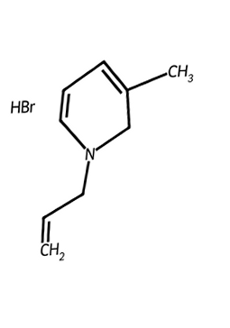 Br.C=CCN1C=CC=C(C)C1